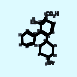 CCCC1CCC(c2ccc(C(=O)O)c(CC)c2C2=CCCC=C2)CC1